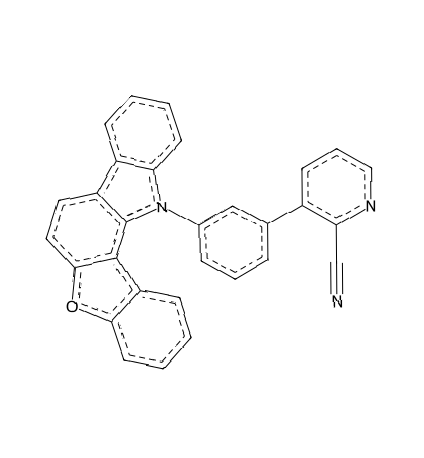 N#Cc1ncccc1-c1cccc(-n2c3ccccc3c3ccc4oc5ccccc5c4c32)c1